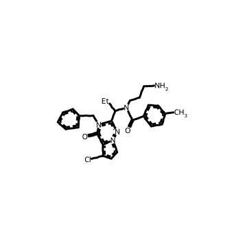 CCC(c1nn2ccc(Cl)c2c(=O)n1Cc1ccccc1)N(CCCN)C(=O)c1ccc(C)cc1